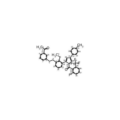 CCc1c(CCc2cccc(C(C)=O)c2)cccc1C1=CC(c2ccc(C)cc2)=CC1C(=O)c1c(F)cccc1C(F)(F)F